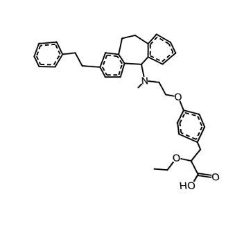 CCOC(Cc1ccc(OCCN(C)C2c3ccccc3CCc3cc(CCc4ccccc4)ccc32)cc1)C(=O)O